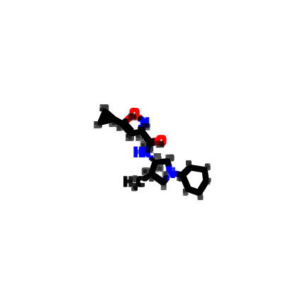 C[C@@H]1CN(C2CCCCC2)C[C@H]1NC(=O)c1cc(C2CC2)on1